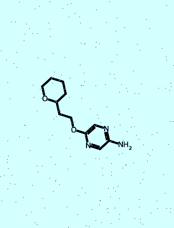 Nc1cnc(OCCC2CCCCO2)cn1